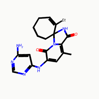 CCC1=CCCCCC12NC(=O)c1c(C)cc(Nc3cc(N)ncn3)c(=O)n12